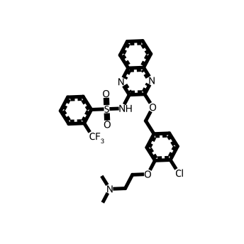 CN(C)CCOc1cc(COc2nc3ccccc3nc2NS(=O)(=O)c2ccccc2C(F)(F)F)ccc1Cl